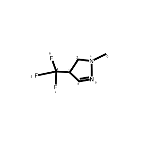 CN1[C]C(C(F)(F)F)[C]=N1